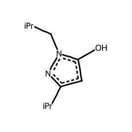 CC(C)Cn1nc(C(C)C)cc1O